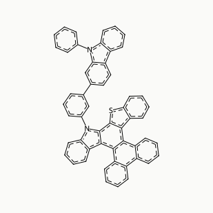 c1ccc(-n2c3ccccc3c3ccc(-c4cccc(-n5c6ccccc6c6c7c8ccccc8c8ccccc8c7c7c8ccccc8sc7c65)c4)cc32)cc1